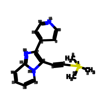 CS(C)(C)C#Cc1c(-c2ccncc2)nc2ccccn12